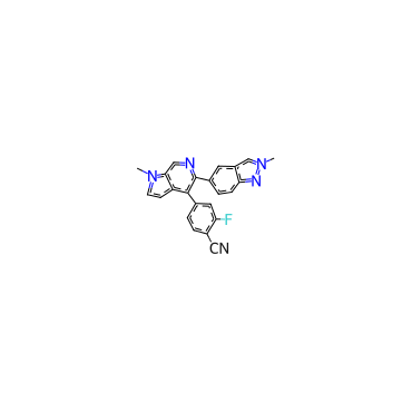 Cn1cc2cc(-c3ncc4c(ccn4C)c3-c3ccc(C#N)c(F)c3)ccc2n1